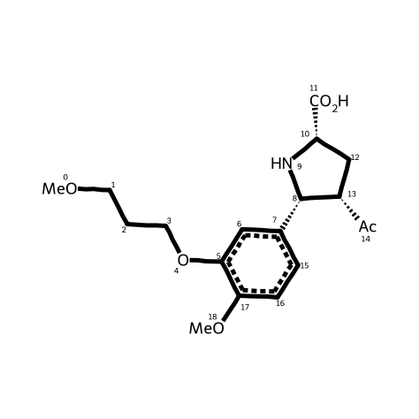 COCCCOc1cc([C@@H]2N[C@H](C(=O)O)C[C@@H]2C(C)=O)ccc1OC